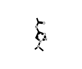 CC(=O)[N-]c1c[n+](N(C)C)no1